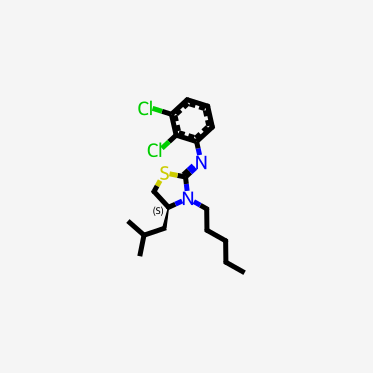 CCCCCN1C(=Nc2cccc(Cl)c2Cl)SC[C@@H]1CC(C)C